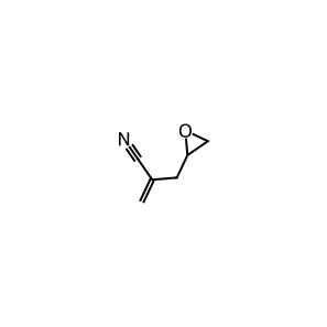 C=C(C#N)CC1CO1